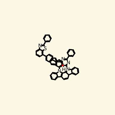 C1=CC2c3ccccc3N(c3nc(-c4ccccc4)nc(-c4ccccc4)n3)[C@H]2c2c1c1ccccc1n2-c1cccc(-c2ccc(-c3cccc4nc(-c5ccccc5)sc34)cc2)c1